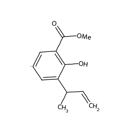 C=CC(C)c1c[c]cc(C(=O)OC)c1O